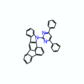 c1ccc(-c2cc(-c3ccccc3)nc(-n3c4ccccc4c4cc5c6c(cccc6c43)-c3ccccc3-5)n2)cc1